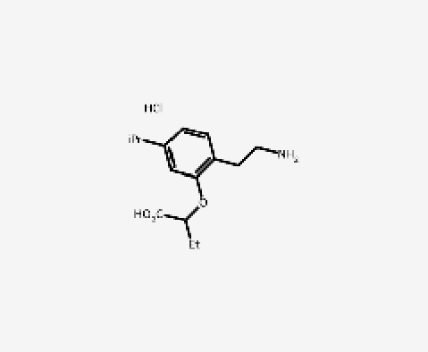 CCC(Oc1cc(C(C)C)ccc1CCN)C(=O)O.Cl